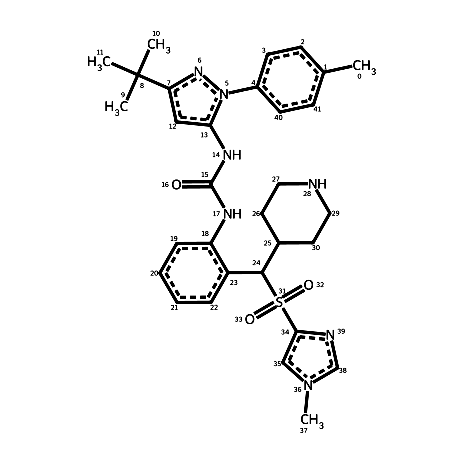 Cc1ccc(-n2nc(C(C)(C)C)cc2NC(=O)Nc2ccccc2C(C2CCNCC2)S(=O)(=O)c2cn(C)cn2)cc1